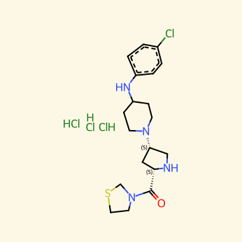 Cl.Cl.Cl.O=C([C@@H]1C[C@H](N2CCC(Nc3ccc(Cl)cc3)CC2)CN1)N1CCSC1